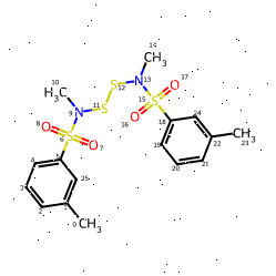 Cc1cccc(S(=O)(=O)N(C)SSN(C)S(=O)(=O)c2cccc(C)c2)c1